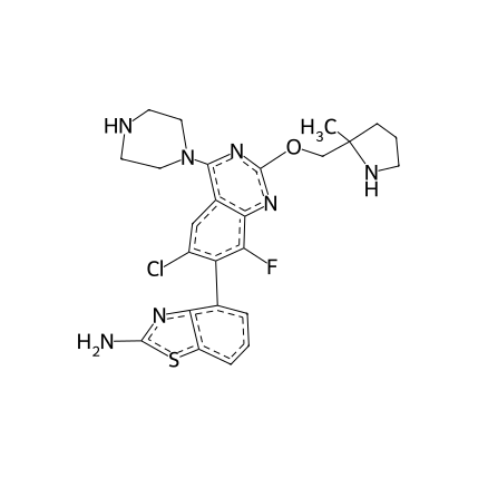 CC1(COc2nc(N3CCNCC3)c3cc(Cl)c(-c4cccc5sc(N)nc45)c(F)c3n2)CCCN1